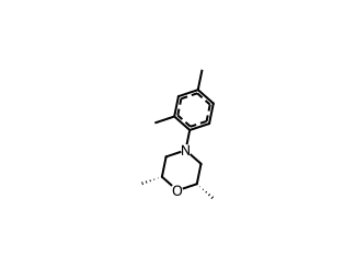 Cc1ccc(N2C[C@@H](C)O[C@@H](C)C2)c(C)c1